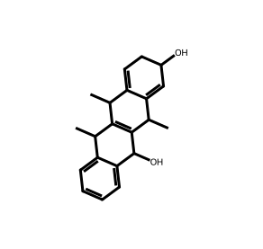 CC1C2=CCC(O)C=C2C(C)C2=C1C(C)c1ccccc1C2O